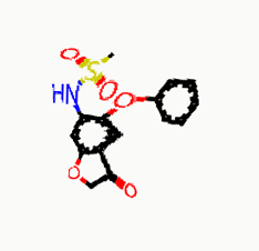 CS(=O)(=O)Nc1cc2c(cc1Oc1ccccc1)C(=O)CO2